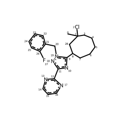 CC1(Cl)CCCCCC(c2nc(-c3ncccn3)nn2Cc2ccccc2F)C1